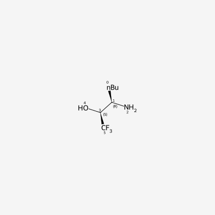 CCCC[C@@H](N)[C@H](O)C(F)(F)F